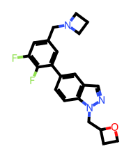 Fc1cc(CN2CCC2)cc(-c2ccc3c(cnn3CC3CCO3)c2)c1F